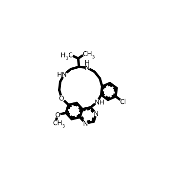 COc1cc2ncnc3c2cc1OCCNCC(C(C)C)NCCc1ccc(Cl)cc1N3